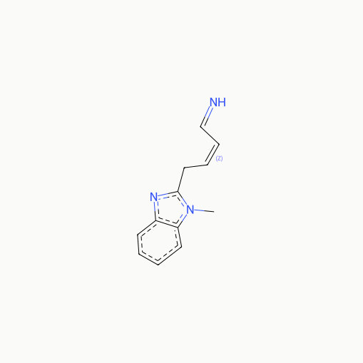 Cn1c(C/C=C\C=N)nc2ccccc21